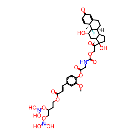 COc1cc(/C=C/C(=O)OCCC(CON(O)O)ON(O)O)ccc1OC(=O)CNC(=O)OCC(=O)C1(O)CCC2[C@@H]3CCC4=CC(=O)C=C[C@]4(C)C3(F)[C@@H](O)C[C@@]21C